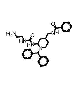 NCCNC(=O)NC1CC(CNC(=O)c2ccccc2)CCN1C(c1ccccc1)c1ccccc1